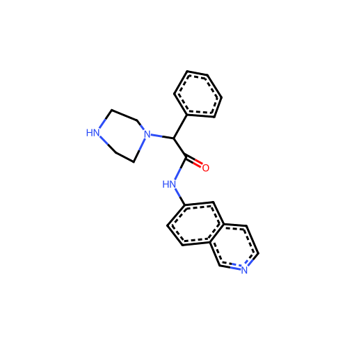 O=C(Nc1ccc2cnccc2c1)C(c1ccccc1)N1CCNCC1